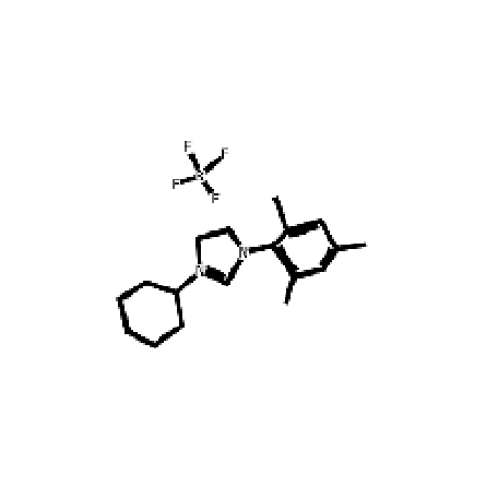 Cc1cc(C)c(N2C=[N+](C3CCCCC3)CC2)c(C)c1.F[B-](F)(F)F